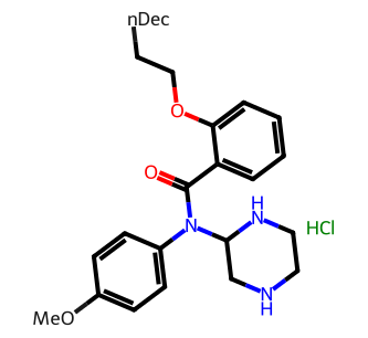 CCCCCCCCCCCCOc1ccccc1C(=O)N(c1ccc(OC)cc1)C1CNCCN1.Cl